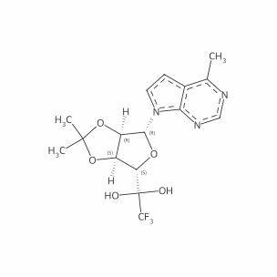 Cc1ncnc2c1ccn2[C@@H]1O[C@H](C(O)(O)C(F)(F)F)[C@H]2OC(C)(C)O[C@H]21